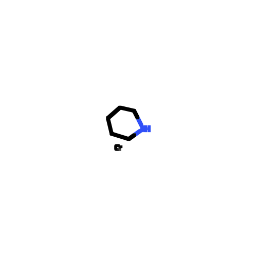 C1CCNCC1.[Cr]